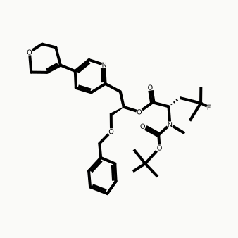 CN(C(=O)OC(C)(C)C)[C@@H](CC(C)(C)F)C(=O)O[C@@H](COCc1ccccc1)Cc1ccc(C2=CCOCC2)cn1